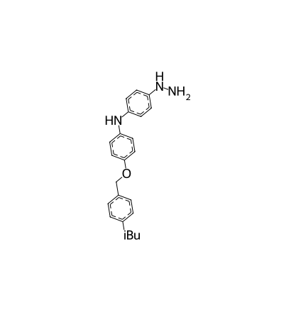 CCC(C)c1ccc(COc2ccc(Nc3ccc(NN)cc3)cc2)cc1